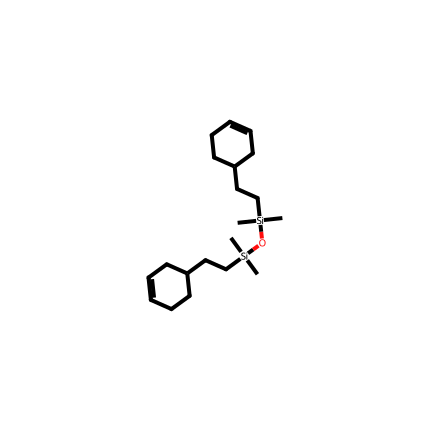 C[Si](C)(CCC1CC=CCC1)O[Si](C)(C)CCC1CC=CCC1